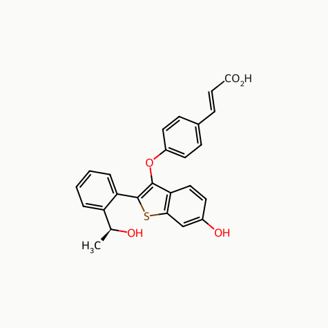 C[C@H](O)c1ccccc1-c1sc2cc(O)ccc2c1Oc1ccc(C=CC(=O)O)cc1